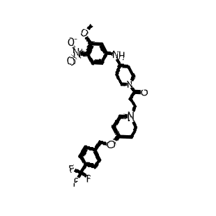 COc1cc(NC2CCN(C(=O)CCN3CCC(OCc4ccc(C(F)(F)F)cc4)CC3)CC2)ccc1[N+](=O)[O-]